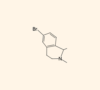 CC1c2ccc(Br)cc2CCN1C